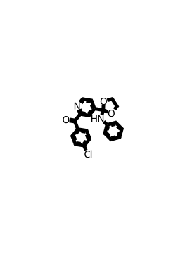 O=C(c1ccc(Cl)cc1)c1cc(C2(Nc3ccccc3)OCCO2)ccn1